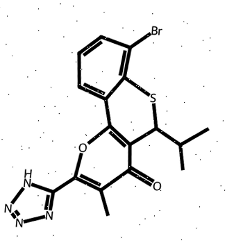 Cc1c(-c2nnn[nH]2)oc2c(c1=O)C(C(C)C)Sc1c(Br)cccc1-2